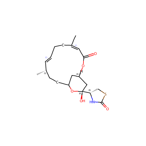 C/C1=C/C(=O)O[C@@H]2CC(CC[C@H](C)/C=C/CC1)O[C@@](O)([C@@H]1CSC(=O)N1)C2